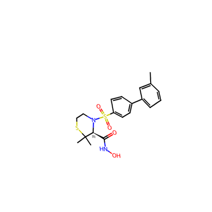 Cc1cccc(-c2ccc(S(=O)(=O)N3CCSC(C)(C)[C@@H]3C(=O)NO)cc2)c1